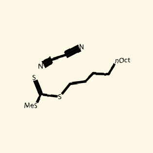 CCCCCCCCCCCCSC(=S)SC.N#CC#N